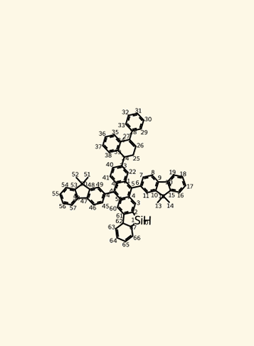 C[SiH]1c2cc3c(-c4ccc5c(c4)C(C)(C)c4ccccc4-5)c4cc(C5CC=C(c6ccccc6)c6ccccc65)ccc4c(-c4ccc5c(c4)C(C)(C)c4ccccc4-5)c3cc2C2C=CC=CC21